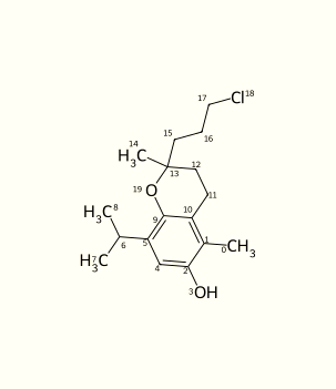 Cc1c(O)cc(C(C)C)c2c1CCC(C)(CCCCl)O2